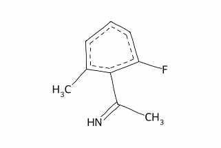 CC(=N)c1c(C)cccc1F